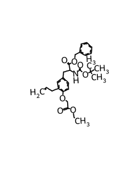 C=CCc1cc(CC(NC(=O)OC(C)(C)C)C(=O)OCc2ccccc2)ccc1OCC(=O)OCC